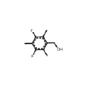 Cc1c(F)c(C)c(CO)c(C)c1F